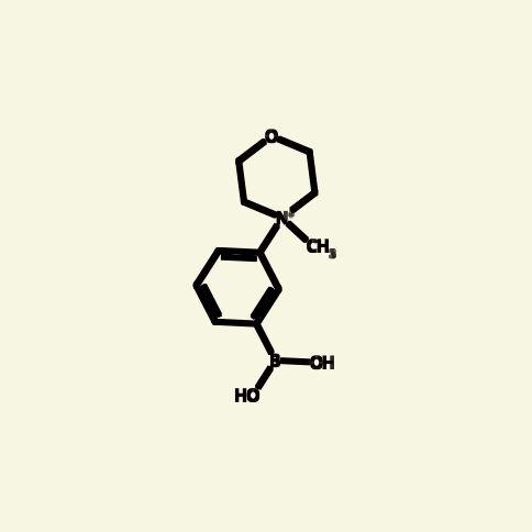 C[N+]1(c2cccc(B(O)O)c2)CCOCC1